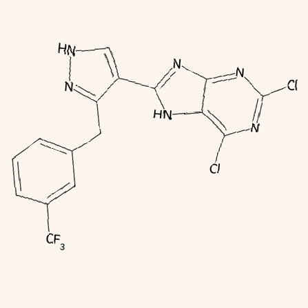 FC(F)(F)c1cccc(Cc2n[nH]cc2-c2nc3nc(Cl)nc(Cl)c3[nH]2)c1